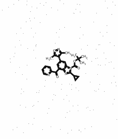 Cc1noc(C)c1-c1cc(C(=O)c2ccccn2)c2nc(C3CC3)n(C(=O)OC(C)(C)C)c2c1